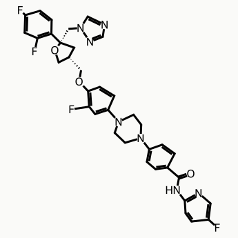 O=C(Nc1ccc(F)cn1)c1ccc(N2CCN(c3ccc(OC[C@@H]4CO[C@@](Cn5cncn5)(c5ccc(F)cc5F)C4)c(F)c3)CC2)cc1